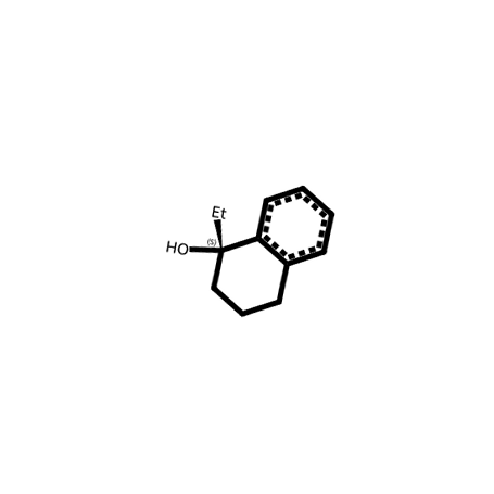 CC[C@]1(O)CCCc2ccccc21